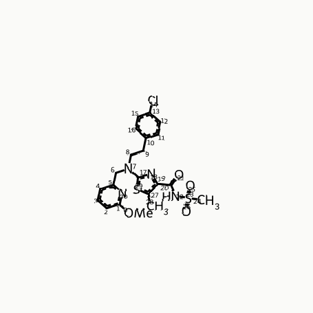 COc1cccc(CN(CCc2ccc(Cl)cc2)c2nc(C(=O)NS(C)(=O)=O)c(C)s2)n1